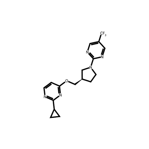 FC(F)(F)c1cnc(N2CC[C@@H](COc3ccnc(C4CC4)n3)C2)nc1